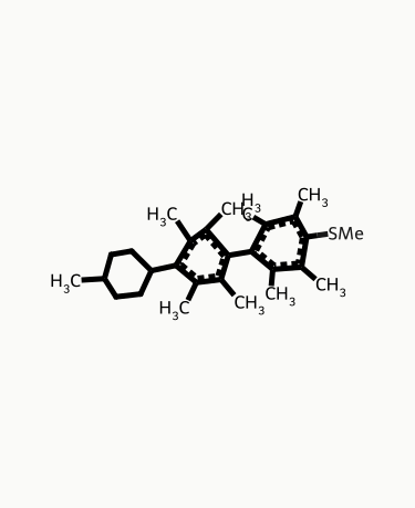 CSc1c(C)c(C)c(-c2c(C)c(C)c(C3CCC(C)CC3)c(C)c2C)c(C)c1C